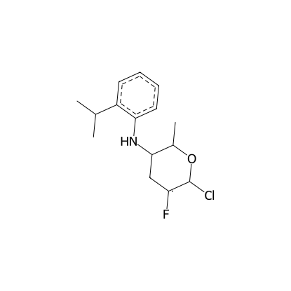 CC(C)c1ccccc1NC1C[C](F)C(Cl)OC1C